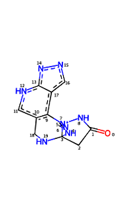 O=C1CC23NC=N[N+]2(N1)c1c(c[nH]c2nncc1-2)CN3